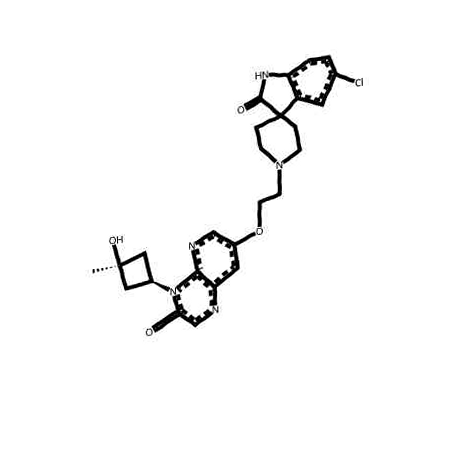 C[C@]1(O)C[C@@H](n2c(=O)cnc3cc(OCCN4CCC5(CC4)C(=O)Nc4ccc(Cl)cc45)cnc32)C1